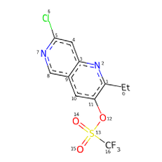 CCc1nc2cc(Cl)ncc2cc1OS(=O)(=O)C(F)(F)F